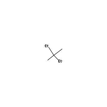 C[CH]C(C)(C)[CH]C